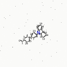 C=Cc1ccc(-c2ccc(-n3c4ccccc4c4ccccc43)cc2)cc1